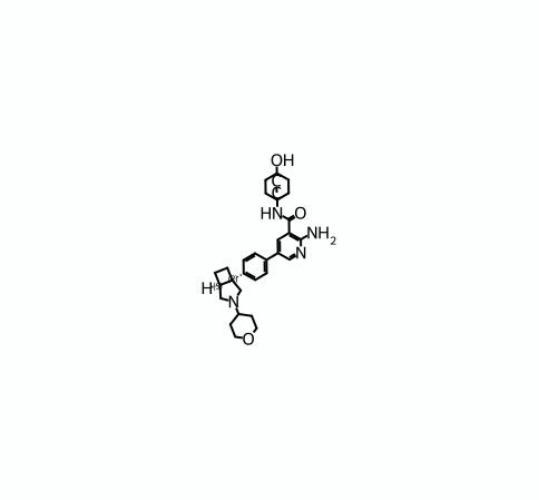 Nc1ncc(-c2ccc([C@@]34CC[C@@H]3CN(C3CCOCC3)C4)cc2)cc1C(=O)NC12CCC(O)(CC1)CC2